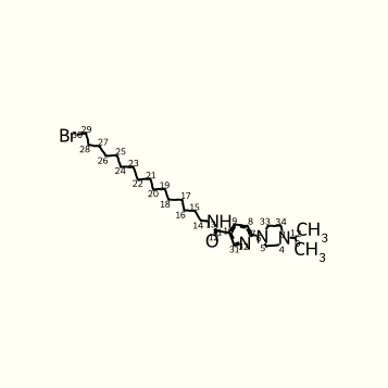 CC(C)N1CCN(c2ccc(C(=O)NCCCCCCCCCCCCCCCCBr)cn2)CC1